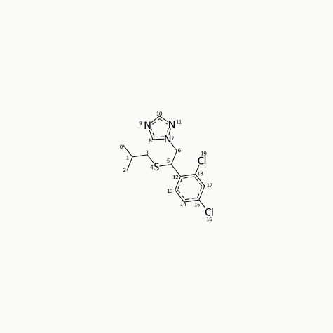 CC(C)CSC(Cn1cncn1)c1ccc(Cl)cc1Cl